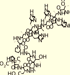 C[C@H](NC(=O)[C@H](Cc1c[nH]cn1)NC(=O)[C@H](Cc1c[nH]cn1)NC(=O)[C@H](C)NC(=O)[C@H](Cc1c[nH]cn1)NC(=O)[C@H](Cc1c[nH]cn1)NC(=O)[C@H](C)NC(=O)[C@@H](N)[C@@H](C)O)C(=O)N[C@@H](C)C(=O)N1CCC[C@H]1C(=O)NCC(=O)N[C@H](C(=O)N[C@@H](C)C(=O)N[C@@H](CC(=O)O)C(=O)N[C@@H](CC(=O)O)C(=O)N1CCC[C@H]1C(=O)O)[C@@H](C)O